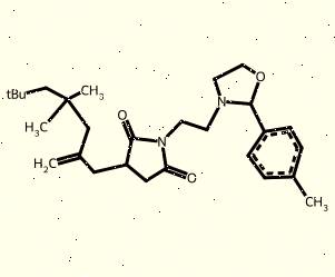 C=C(CC1CC(=O)N(CCN2CCOC2c2ccc(C)cc2)C1=O)CC(C)(C)CC(C)(C)C